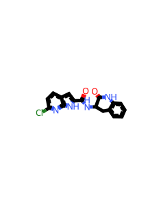 O=C(NC1Cc2ccccc2NC1=O)c1cc2ccc(Cl)nc2[nH]1